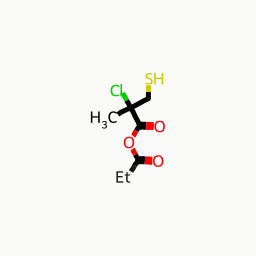 CCC(=O)OC(=O)C(C)(Cl)CS